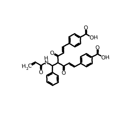 C=CC(=O)NC(c1ccccc1)C(C(=O)/C=C/c1ccc(C(=O)O)cc1)C(=O)/C=C/c1ccc(C(=O)O)cc1